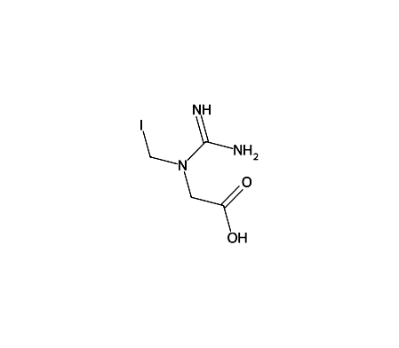 N=C(N)N(CI)CC(=O)O